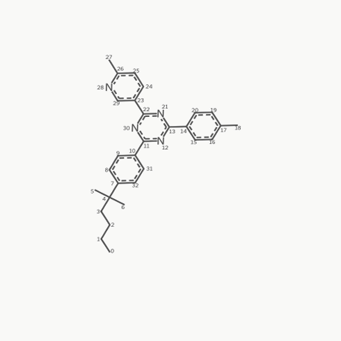 CCCCC(C)(C)c1ccc(-c2nc(-c3ccc(C)cc3)nc(-c3ccc(C)nc3)n2)cc1